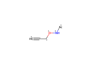 C#CCONC(C)=O